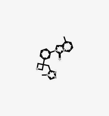 Cc1cccn2c(=O)n(-c3cccc(C4(Cc5nncn5C)COC4)c3)cc12